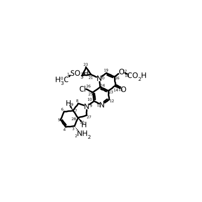 CS(=O)(=O)O.N[C@@H]1C=CC[C@@H]2CN(c3ncc4c(=O)c(OC(=O)O)cn(C5CC5)c4c3Cl)C[C@@H]21